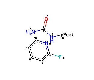 CCCCCNC(N)=O.Fc1ccccn1